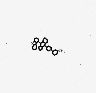 Cc1cccc(-c2ccc(-c3c4ccccc4c(-c4cccc5sc6ccccc6c45)c4ccccc34)cc2)c1